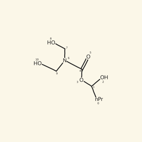 CCCC(O)OC(=O)N(CO)CO